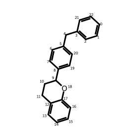 c1ccc(Cc2ccc(C3CCc4ccccc4O3)cc2)cc1